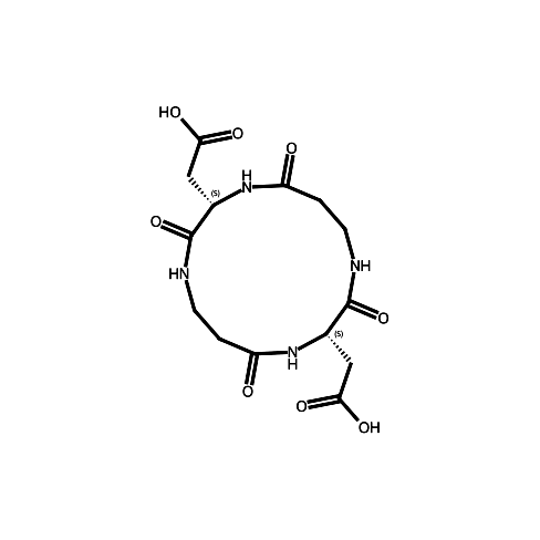 O=C(O)C[C@@H]1NC(=O)CCNC(=O)[C@H](CC(=O)O)NC(=O)CCNC1=O